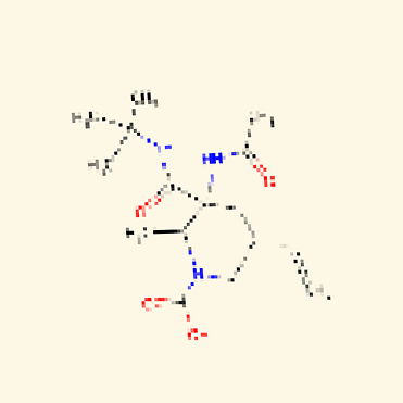 C=C[C@@H]1CN(C(=O)O)[C@@H](C)[C@@](NC(C)=O)(C(=O)NC(C)(C)C)C1